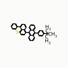 CC(C)(C)c1ccc(-c2c3ccccc3c(-c3ccc4c5c(cccc35)-c3ccccc3S4)c3ccccc23)cc1